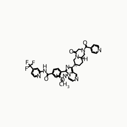 COc1cc(C(=O)Nc2cc(C(F)(F)F)ccn2)ccc1C1=NC([C@@H]2CC[C@H]3CN(C(=O)c4ccncc4)CC(=O)N3C2)=C2C=NC=C[N+]12N